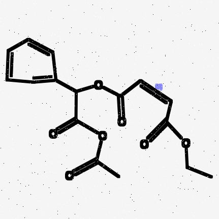 CCOC(=O)/C=C\C(=O)OC(C(=O)OC(C)=O)c1ccccc1